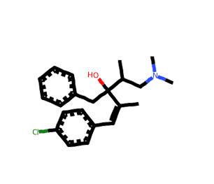 C/C(=C/c1ccc(Cl)cc1)C(O)(Cc1ccccc1)C(C)CN(C)C